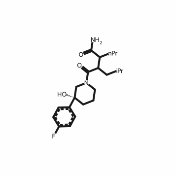 CCCC(C(N)=O)C(CC(C)C)C(=O)N1CCC[C@@](O)(c2ccc(F)cc2)C1